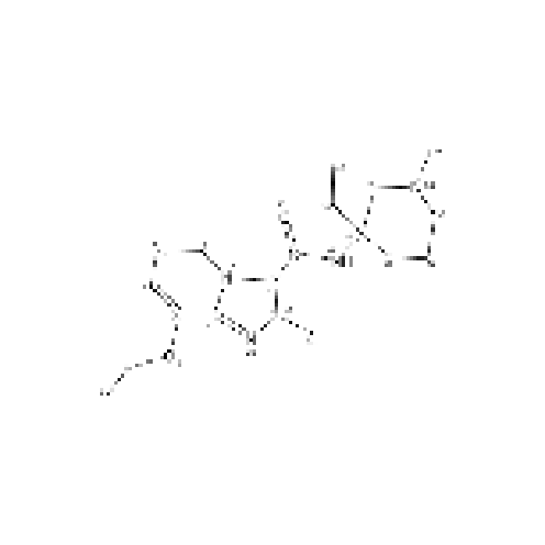 CCOc1cccn2c(C(=O)NC3(CC)CCCN(C)C3)c(C)nc12